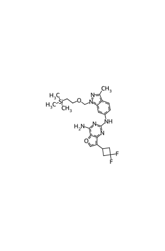 Cc1nn(COCC[Si](C)(C)C)c2cc(Nc3nc(N)c4occ(C5CC(F)(F)C5)c4n3)ccc12